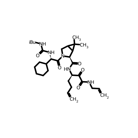 C=CCC[C@@H](NC(=O)[C@@H]1C2C(CN1C(=O)[C@@H](NC(=O)NC(C)CC)C1CCCCC1)C2(C)C)C(=O)C(=O)NCC=C